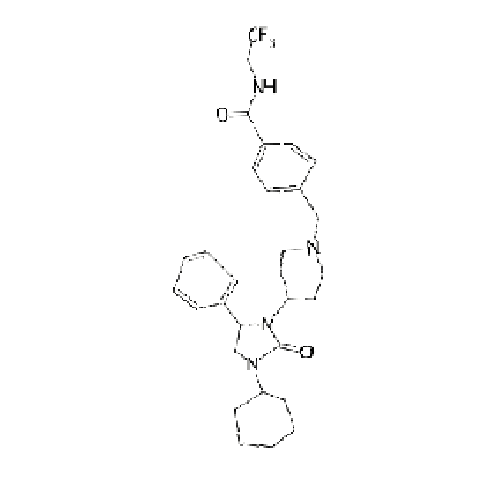 O=C(NCC(F)(F)F)c1ccc(CN2CCC(N3C(=O)N(C4CCCCC4)CC3c3ccccc3)CC2)cc1